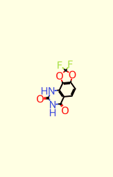 O=c1[nH]c(=O)c2ccc3c(c2[nH]1)OC(F)(F)O3